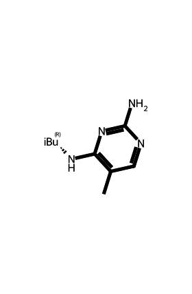 CC[C@@H](C)Nc1nc(N)ncc1C